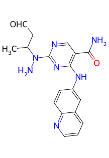 CC(CC=O)N(N)c1ncc(C(N)=O)c(Nc2ccc3ncccc3c2)n1